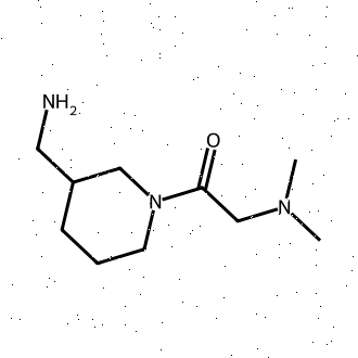 CN(C)CC(=O)N1CCCC(CN)C1